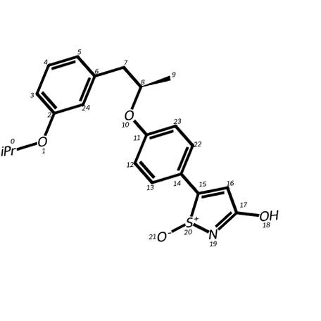 CC(C)Oc1cccc(C[C@@H](C)Oc2ccc(-c3cc(O)n[s+]3[O-])cc2)c1